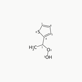 CC(OO)c1cccs1